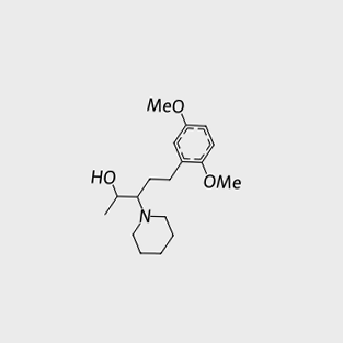 COc1ccc(OC)c(CCC(C(C)O)N2CCCCC2)c1